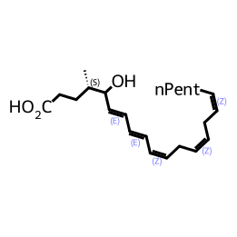 CCCCC/C=C\C/C=C\C\C=C/C=C/C=C/C(O)[C@@H](C)CCC(=O)O